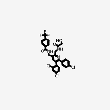 O=C(CO)NCc1nc(-c2ccc(Cl)cc2)c(-c2ccc(Cl)cc2Cl)cc1CNC(=O)c1ccc(C(F)(F)F)cc1